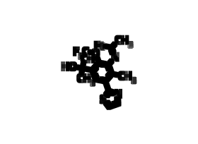 CC/C(C)=N\c1c(C)c(-c2nccs2)cc(C(C)(C)O)c1OC(F)(F)F